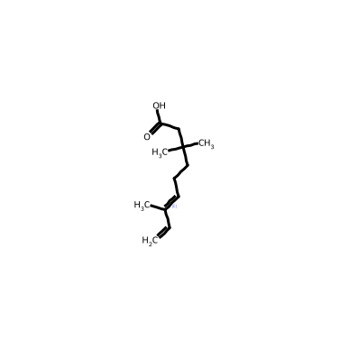 C=C/C(C)=C/CCC(C)(C)CC(=O)O